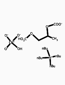 CC(COC(=O)O)OC(=O)[O-].CCCC[N+](CCCC)(CCCC)CCCC.[O-][Cl+3]([O-])([O-])O